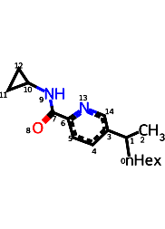 CCCCCCC(C)c1ccc(C(=O)NC2CC2)nc1